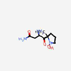 NC(=O)CC(N)C(=O)C1(C(=O)O)CCCN1O